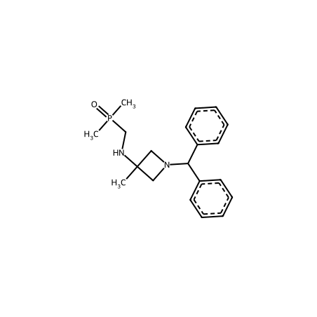 CC1(NCP(C)(C)=O)CN(C(c2ccccc2)c2ccccc2)C1